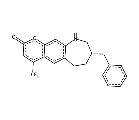 O=c1cc(C(F)(F)F)c2cc3c(cc2o1)NC[C@H](Cc1ccccc1)CC3